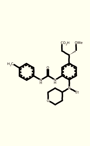 CCN(c1ccc([C@@H](COC)CC(=O)O)cc1NC(=O)Nc1ccc(C)cc1)C1CCOCC1